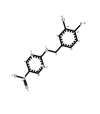 O=[N+]([O-])c1cnc(OCc2ccc(F)c(Cl)c2)nc1